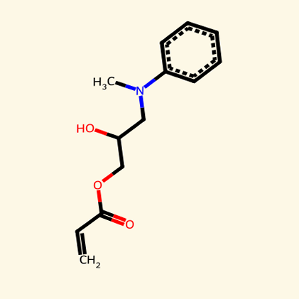 C=CC(=O)OCC(O)CN(C)c1ccccc1